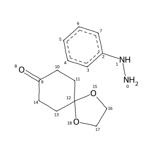 NNc1ccccc1.O=C1CCC2(CC1)OCCO2